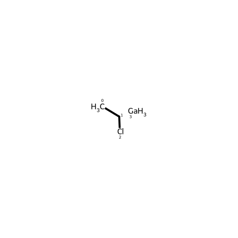 CCCl.[GaH3]